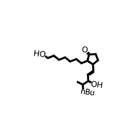 CCCCC(C)C(O)C=CC1CCC(=O)C1CCCCCCCO